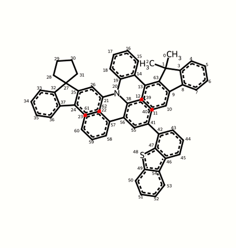 CC1(C)c2ccccc2-c2cccc(-c3ccccc3N(c3ccc4c(c3)C3(CCCC3)c3ccccc3-4)c3ccc(-c4cccc5c4sc4ccccc45)cc3-c3ccccc3)c21